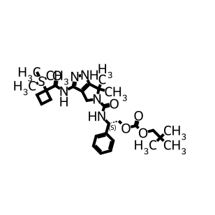 CC(C)(C)COC(=O)OC[C@@H](NC(=O)N1Cc2c(NC(=O)C3(S(C)(C)C)CCC3)n[nH]c2C1(C)C)c1ccccc1